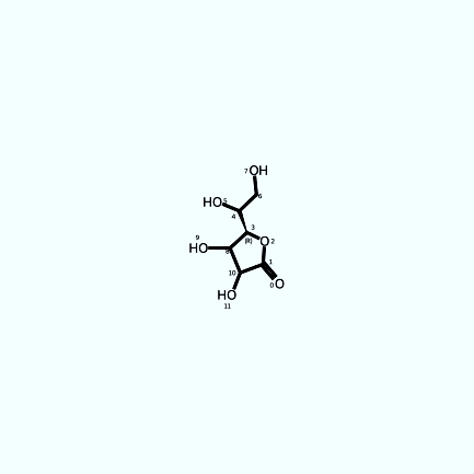 O=C1O[C@H](C(O)CO)C(O)C1O